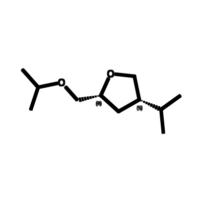 CC(C)OC[C@H]1C[C@@H](C(C)C)CO1